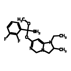 BC(OC)(OC1=NCN2CC(C)N(CC)C2=C1)c1cccc(F)c1F